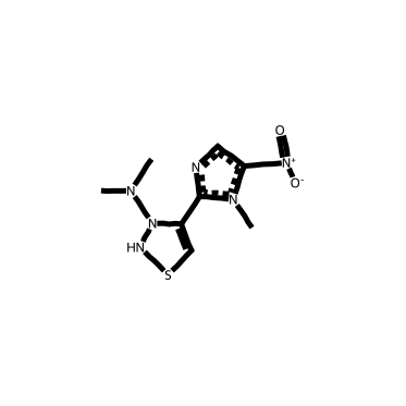 CN(C)N1NSC=C1c1ncc([N+](=O)[O-])n1C